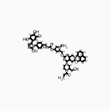 C=CC(=O)N1CCN(c2nc(OCC3CC(OC(=O)NCc4ccc(-n5c(O)nnc5-c5cc(CC)c(O)cc5O)cc4)CN3C)nc3c2CCN(c2cccc4cccc(Cl)c24)C3)CC1CC#N